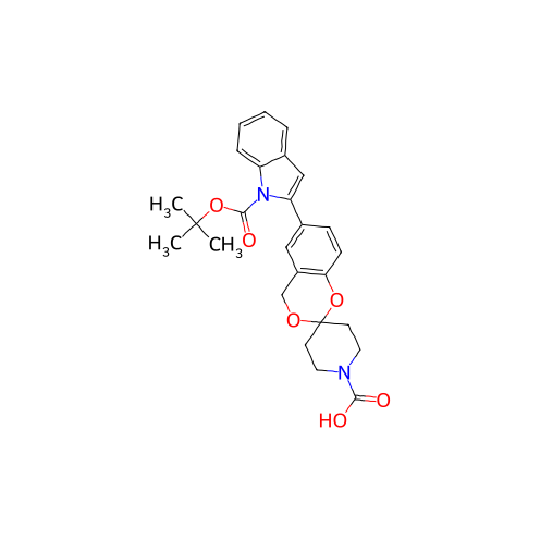 CC(C)(C)OC(=O)n1c(-c2ccc3c(c2)COC2(CCN(C(=O)O)CC2)O3)cc2ccccc21